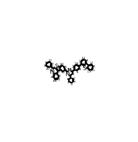 c1ccc(-c2cc(-c3ccc(-c4cccc5c4sc4ccccc45)cc3)nc(-c3ccc4sc5c(-c6ccccc6)nc6ccccc6c5c4c3)n2)cc1